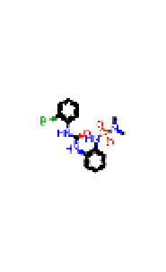 CN(C)S(=O)(=O)Nc1ccccc1NC(=O)Nc1ccccc1Br